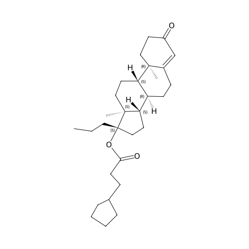 CCC[C@]1(OC(=O)CCC2CCCC2)CC[C@H]2[C@@H]3CCC4=CC(=O)CC[C@]4(C)[C@H]3CC[C@@]21C